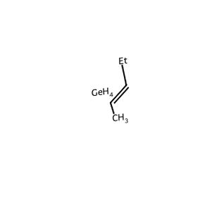 CC=CCC.[GeH4]